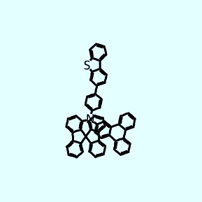 c1ccc2c(c1)-c1ccccc1C21c2ccccc2-c2cccc(N(c3ccc(-c4ccc5c(c4)sc4ccccc45)cc3)c3ccc4c5ccccc5c5ccccc5c4c3)c21